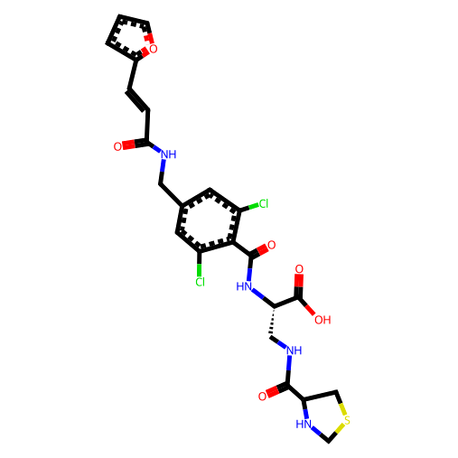 O=C(/C=C/c1ccco1)NCc1cc(Cl)c(C(=O)N[C@@H](CNC(=O)C2CSCN2)C(=O)O)c(Cl)c1